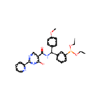 CCOP(OCC)c1cccc(C(NC(=O)c2cnc(-c3ccccn3)nc2O)c2ccc(OC)cc2)c1